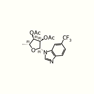 CC(=O)O[C@@H]1[C@H](OC(C)=O)[C@@H](C)O[C@H]1n1cnc2ccc(C(F)(F)F)cc21